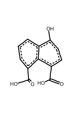 O=C(O)c1cccc2c(O)ccc(C(=O)O)c12